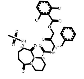 CS(=O)(=O)N[C@H]1CCC(=O)N2CCC[C@@H](C(=O)N[C@@H](Cc3ccccc3)C(=O)COC(=O)c3c(Cl)cccc3Cl)N2C1=O